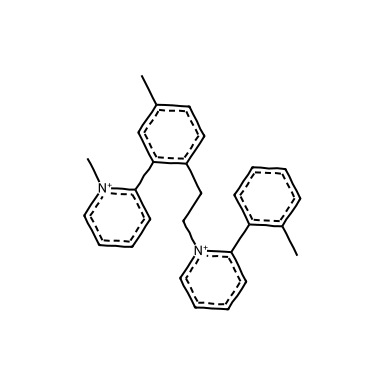 Cc1ccc(CC[n+]2ccccc2-c2ccccc2C)c(-c2cccc[n+]2C)c1